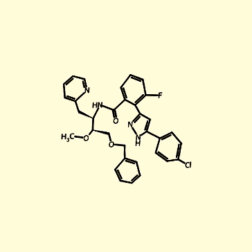 CO[C@H](COCc1ccccc1)[C@@H](Cc1ccccn1)NC(=O)c1cccc(F)c1-c1cc(-c2ccc(Cl)cc2)[nH]n1